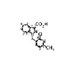 Cc1ccc(Cn2nc(C(=O)O)c3ccccc32)c(Cl)n1